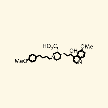 COc1ccc(CCCCN2CC[C@@H](CC[C@@H](O)c3ccnc4ccc(OC)cc34)[C@@H](CC(=O)O)C2)cc1